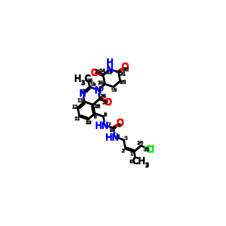 CC(=CCNC(=O)NCc1cccc2nc(C)n(C3CCC(=O)NC3=O)c(=O)c12)CCl